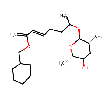 C=C(/C=C/CC[C@@H](C)O[C@@H]1O[C@@H](C)[C@H](O)C[C@H]1C)OCC1CCCCC1